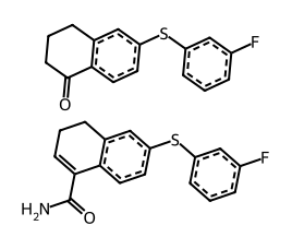 NC(=O)C1=CCCc2cc(Sc3cccc(F)c3)ccc21.O=C1CCCc2cc(Sc3cccc(F)c3)ccc21